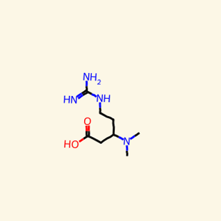 CN(C)C(CCNC(=N)N)CC(=O)O